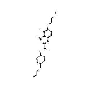 C=CCCC1CCC(OC(=O)c2cc3ccc(OCCOC)c(F)c3c(=O)o2)CC1